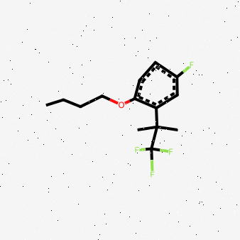 CCCCOc1ccc(F)cc1C(C)(C)C(F)(F)F